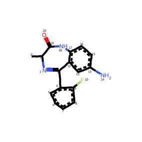 CC1N=C(c2ccccc2F)c2cc(N)ccc2NC1=O